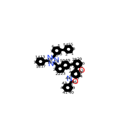 c1ccc(-c2cccc(-c3nc(-c4ccccc4)nc(-c4cccc5cc(-c6cccc7oc8cc9oc(-c%10ccccc%10)nc9cc8c67)ccc45)n3)c2)cc1